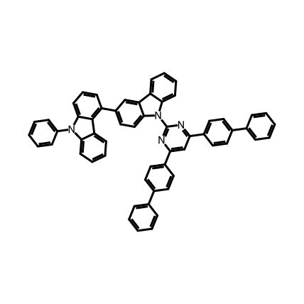 c1ccc(-c2ccc(-c3cc(-c4ccc(-c5ccccc5)cc4)nc(-n4c5ccccc5c5cc(-c6cccc7c6c6ccccc6n7-c6ccccc6)ccc54)n3)cc2)cc1